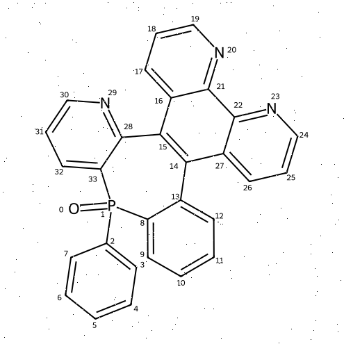 O=P1(c2ccccc2)c2ccccc2-c2c(c3cccnc3c3ncccc23)-c2ncccc21